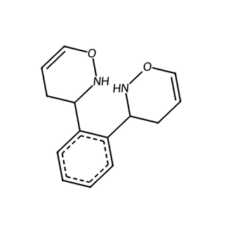 C1=CONC(c2ccccc2C2CC=CON2)C1